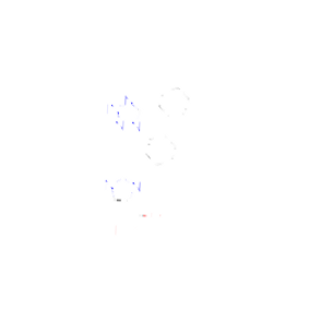 CCCCc1nc(Cl)c(C(=O)O)n1Cc1ccc(-c2cc(C3CCCCC3)ccc2-c2nn[nH]n2)cc1